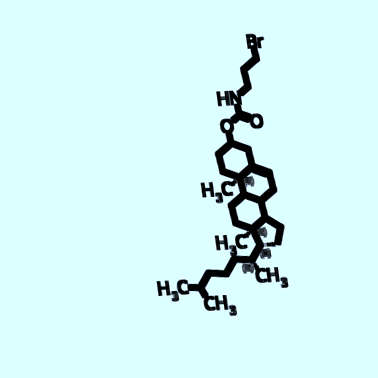 CC(C)CCC[C@@H](C)[C@H]1CCC2C3CC=C4CC(OC(=O)NCCCBr)CC[C@]4(C)C3CC[C@@]21C